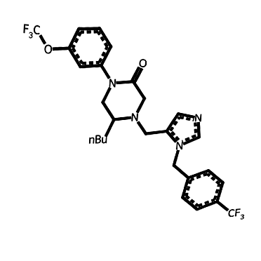 CCCCC1CN(c2cccc(OC(F)(F)F)c2)C(=O)CN1Cc1cncn1Cc1ccc(C(F)(F)F)cc1